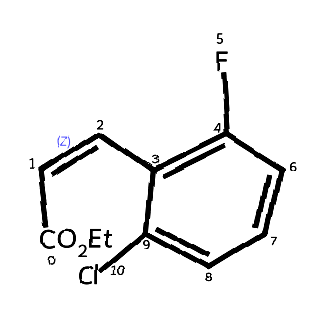 CCOC(=O)/C=C\c1c(F)cccc1Cl